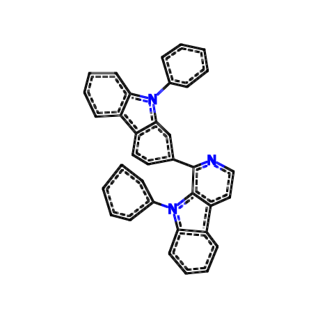 c1ccc(-n2c3ccccc3c3ccc(-c4nccc5c6ccccc6n(-c6ccccc6)c45)cc32)cc1